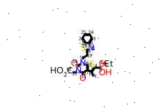 CCOC(O)c1sc2c(c1C)c(=O)n(CC(=O)O)c(=O)n2CCc1nc2ccccc2s1